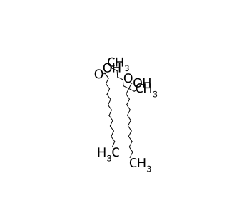 CCCCCCCCCCCCCCC(CC)(CCCCCC)C(=O)O.CCCCCCCCCCCCCCCC(=O)O